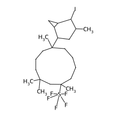 CC1CC(C2(C)CCCCC(C)(S(F)(F)(F)(F)F)CC(C)(C)CCC2)C2CC2C1I